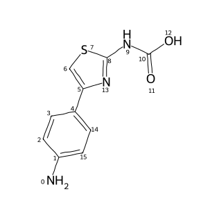 Nc1ccc(-c2csc(NC(=O)O)n2)cc1